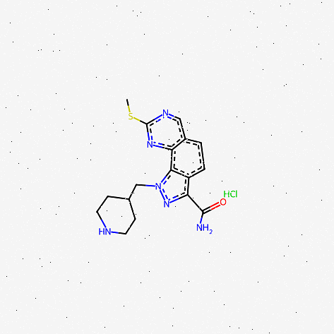 CSc1ncc2ccc3c(C(N)=O)nn(CC4CCNCC4)c3c2n1.Cl